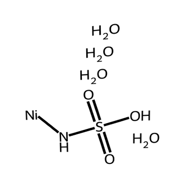 O.O.O.O.O=S(=O)(O)[NH][Ni]